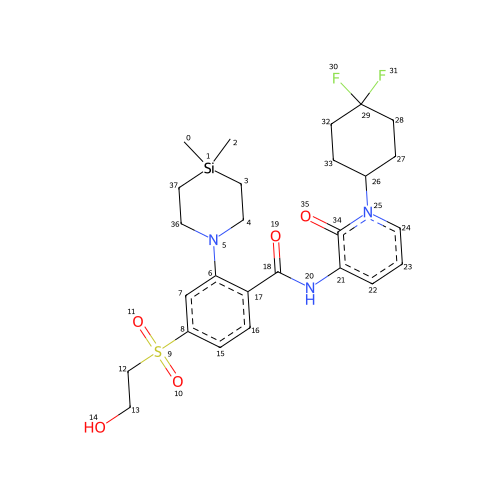 C[Si]1(C)CCN(c2cc(S(=O)(=O)CCO)ccc2C(=O)Nc2cccn(C3CCC(F)(F)CC3)c2=O)CC1